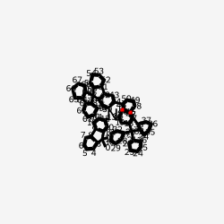 CC1(C)c2ccccc2-c2ccc(N(c3ccc4c(c3)C(c3ccccc3)(c3ccccc3)c3ccccc3-4)c3cc4c(cc3-c3ccccc3)-c3ccccc3C43c4ccccc4-c4ccccc43)cc21